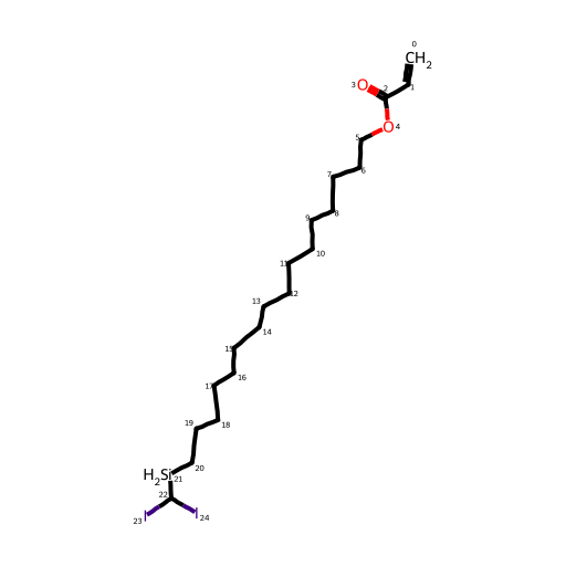 C=CC(=O)OCCCCCCCCCCCCCCCC[SiH2]C(I)I